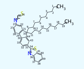 CCCCCCCCCCC1(CCCCCCCCCC)c2cc(N=C=S)ccc2-c2ccc(-c3nc4ccccc4s3)cc21